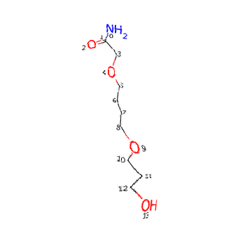 NC(=O)COCCCCOCCCO